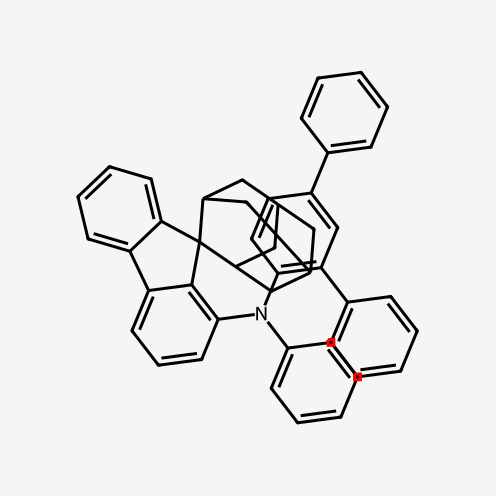 c1ccc(-c2ccc(N(c3ccccc3)c3cccc4c3C3(c5ccccc5-4)C4CC5CC(C4)CC3C5)c(-c3ccccc3)c2)cc1